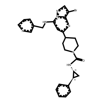 O=C(N[C@@H]1C[C@H]1c1ccccc1)N1CCC(c2cc(NCc3cccnc3)n3ncc(Br)c3n2)CC1